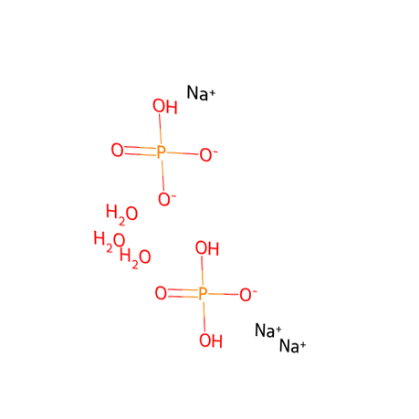 O.O.O.O=P([O-])(O)O.O=P([O-])([O-])O.[Na+].[Na+].[Na+]